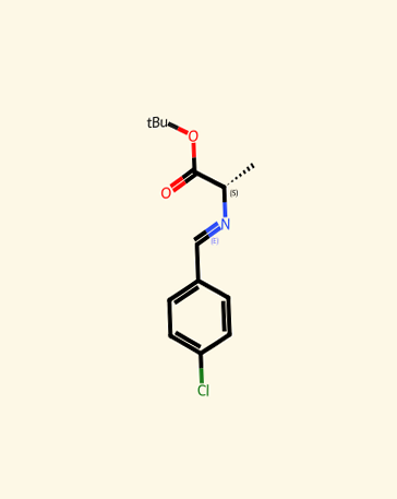 C[C@H](/N=C/c1ccc(Cl)cc1)C(=O)OC(C)(C)C